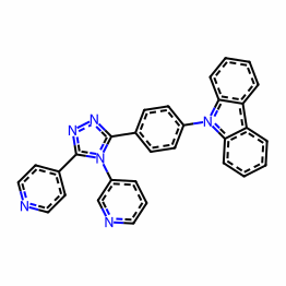 c1cncc(-n2c(-c3ccncc3)nnc2-c2ccc(-n3c4ccccc4c4ccccc43)cc2)c1